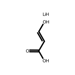 O=C(O)C=CO.[LiH]